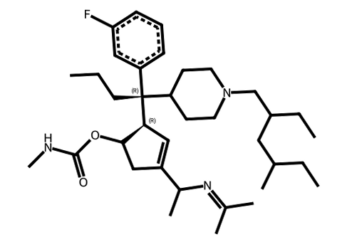 CCC[C@@](c1cccc(F)c1)(C1CCN(CC(CC)CC(C)CC)CC1)[C@H]1C=C(C(C)N=C(C)C)CC1OC(=O)NC